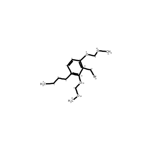 CCCCc1ccc(OCOC)c(CBr)c1OCOC